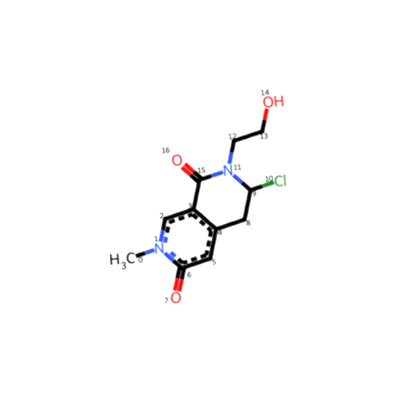 Cn1cc2c(cc1=O)CC(Cl)N(CCO)C2=O